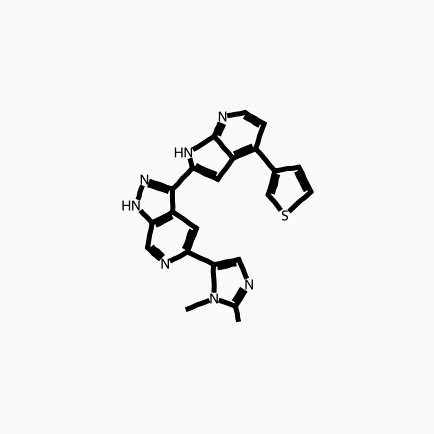 Cc1ncc(-c2cc3c(-c4cc5c(-c6ccsc6)ccnc5[nH]4)n[nH]c3cn2)n1C